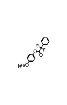 COc1ccc(OC(=O)C(F)(F)c2ccccc2)cc1